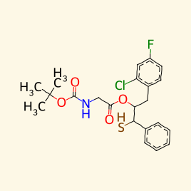 CC(C)(C)OC(=O)NCC(=O)OC(Cc1ccc(F)cc1Cl)C(S)c1ccccc1